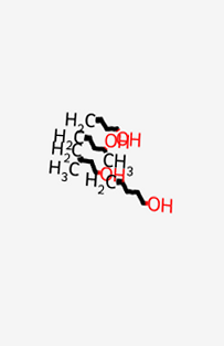 C=C(C)CCO.C=CCC(C)O.C=CCCCO.C=CCCO